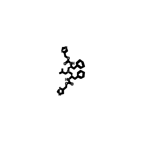 CC(C)CN(C[C@@H](Cc1ccccc1)NC(=O)OCc1cncs1)C[C@H](Cc1ccccc1)NC(=O)OCc1cncs1